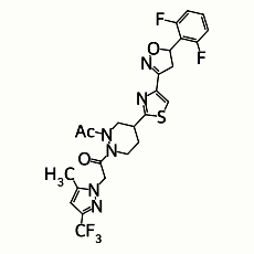 CC(=O)N1CC(c2nc(C3=NOC(c4c(F)cccc4F)C3)cs2)CCN1C(=O)Cn1nc(C(F)(F)F)cc1C